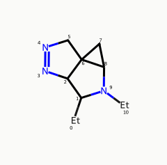 CCC1C2N=NCC23CC3N1CC